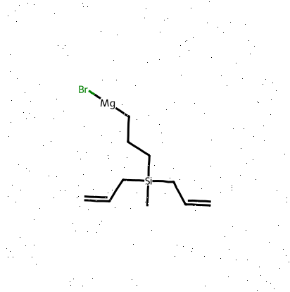 C=CC[Si](C)(CC=C)CC[CH2][Mg][Br]